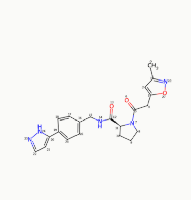 Cc1cc(CC(=O)N2CCC[C@H]2C(=O)NCc2ccc(-c3ccn[nH]3)cc2)on1